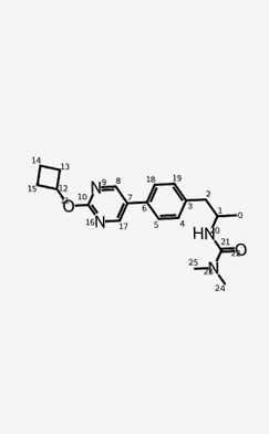 CC(Cc1ccc(-c2cnc(OC3CCC3)nc2)cc1)NC(=O)N(C)C